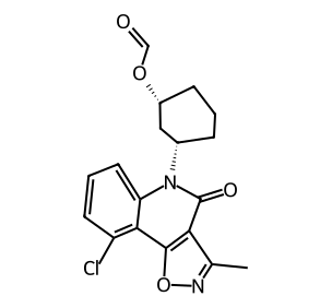 Cc1noc2c1c(=O)n([C@H]1CCC[C@@H](OC=O)C1)c1cccc(Cl)c21